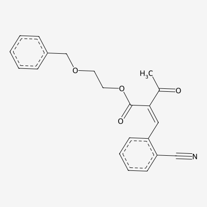 CC(=O)/C(=C/c1ccccc1C#N)C(=O)OCCOCc1ccccc1